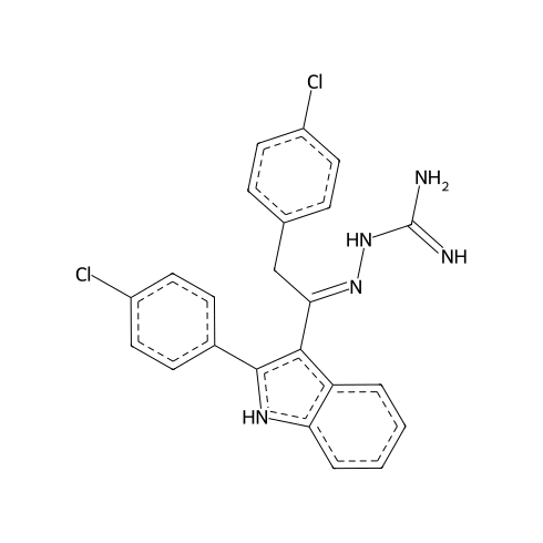 N=C(N)NN=C(Cc1ccc(Cl)cc1)c1c(-c2ccc(Cl)cc2)[nH]c2ccccc12